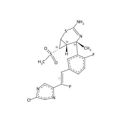 C[C@]1(c2cc(/C=C(\F)c3cnc(Cl)cn3)ccc2F)N=C(N)SC2[C@@H](S(C)(=O)=O)[C@H]21